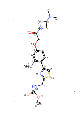 COc1cc(OCC(=O)N2CC(N(C)C)C2)ccc1-c1csc(CNC(=O)OC(C)(C)C)n1